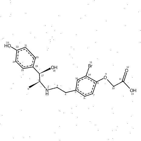 C[C@H](NCCc1ccc(OCC(=O)O)c(Br)c1)[C@H](O)c1ccc(O)cc1